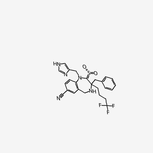 N#Cc1ccc2c(c1)CNC(CCCC(F)(F)F)(Cc1ccccc1)C(=S(=O)=O)N2Cc1c[nH]cn1